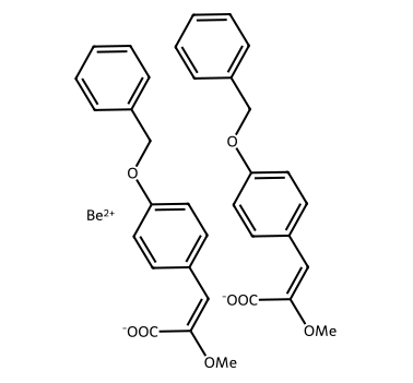 COC(=Cc1ccc(OCc2ccccc2)cc1)C(=O)[O-].COC(=Cc1ccc(OCc2ccccc2)cc1)C(=O)[O-].[Be+2]